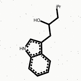 CC(C)C[C](O)Cc1c[nH]c2ccccc12